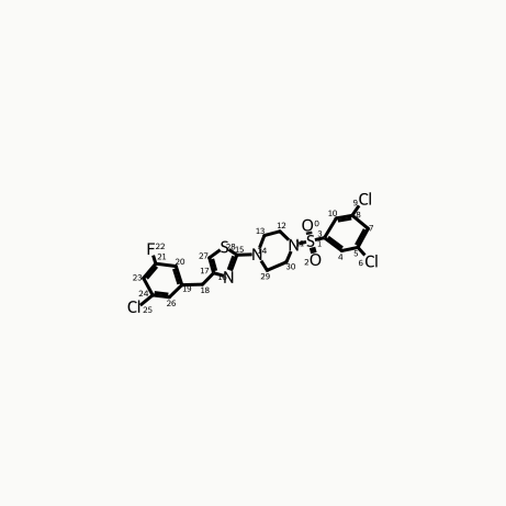 O=S(=O)(c1cc(Cl)cc(Cl)c1)N1CCN(c2nc(Cc3cc(F)cc(Cl)c3)cs2)CC1